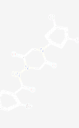 O=C(NN1CC(=O)N(c2cc(Cl)cc(Cl)c2)CC1=O)c1ccccc1Br